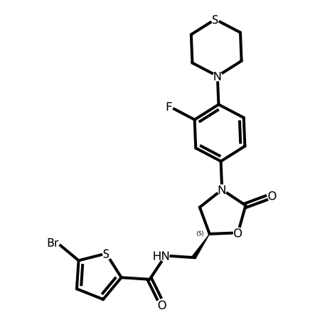 O=C(NC[C@H]1CN(c2ccc(N3CCSCC3)c(F)c2)C(=O)O1)c1ccc(Br)s1